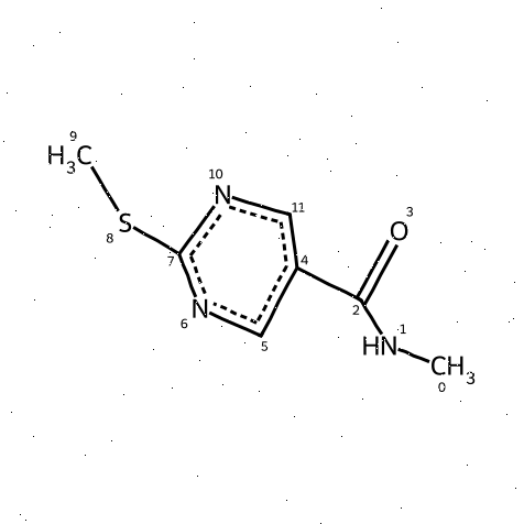 CNC(=O)c1cnc(SC)nc1